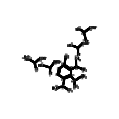 CCCCC(CC)C(=O)[O-].CCCCC(CC)C(=O)[O-].CCCCC(CC)C(=O)[O-].CCCCC(CC)C(=O)[O-].CN(C)c1ccc(O)c(N(C)C)c1N(C)C.[Sn+4]